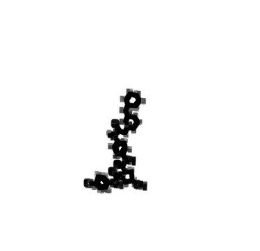 CN(C(=O)CN1CCCC(CC2CCCCC2)C1)c1ccc(NC(=O)[C@H]2C[C@@H](O)CN2C(=O)Nc2ccc(Cl)cc2)cc1